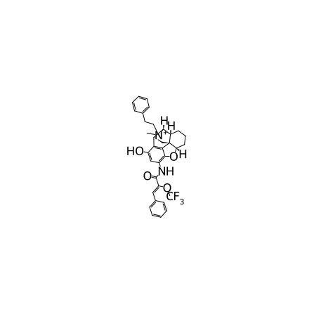 C[N+]1(CCc2ccccc2)CC[C@]23c4c5c(O)cc(NC(=O)C(=Cc6ccccc6)OC(F)(F)F)c4O[C@H]2CCC[C@H]3[C@H]1C5